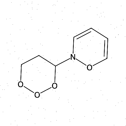 C1=CON(C2CCOOO2)C=C1